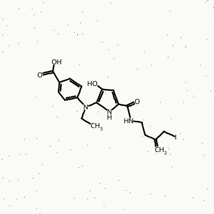 C=C(CI)CCNC(=O)c1cc(O)c(N(CC)c2ccc(C(=O)O)cc2)[nH]1